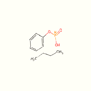 CCCC.O=[PH](O)Oc1ccccc1